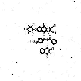 N#Cc1sc2c(=O)c3ccccc3c(=O)c=2sc1C#N.O=C(NN=C1C=CC(=NO)C=C1)c1ccccc1.O=C1C(Cl)=C(Cl)C(=O)C(Cl)=C1Cl.O=C1C(Cl)=C(Cl)C(=O)c2ccccc21